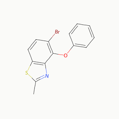 Cc1nc2c(Oc3ccccc3)c(Br)ccc2s1